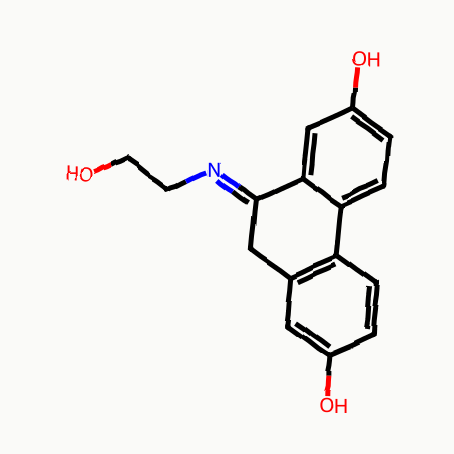 OCCN=C1Cc2cc(O)ccc2-c2ccc(O)cc21